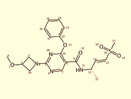 COC1CN(c2ncc(C(=O)N[C@@H](C)/C=C/S(C)(=O)=O)c(Oc3ccccc3)n2)C1